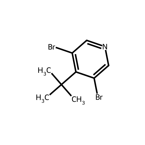 CC(C)(C)c1c(Br)cncc1Br